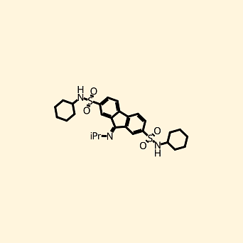 CC(C)N=C1c2cc(S(=O)(=O)NC3CCCCC3)ccc2-c2ccc(S(=O)(=O)NC3CCCCC3)cc21